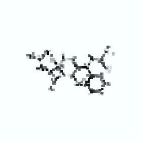 CCC(=O)NC1C(=O)N2C(C(=O)O)C(C(SC(=N)N)c3ccccc3)=CS[C@@H]12